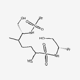 CC(CCC(S)S(=O)(=O)N[C@H](CO)C(C)C)[C@H](CO)NS(=O)(=O)C(C)C